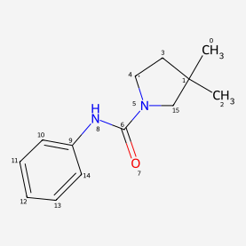 CC1(C)C[CH]N(C(=O)Nc2ccccc2)C1